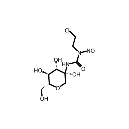 O=NN(CCCl)C(=O)N[C@@]1(O)CO[C@H](CO)[C@@H](O)[C@@H]1O